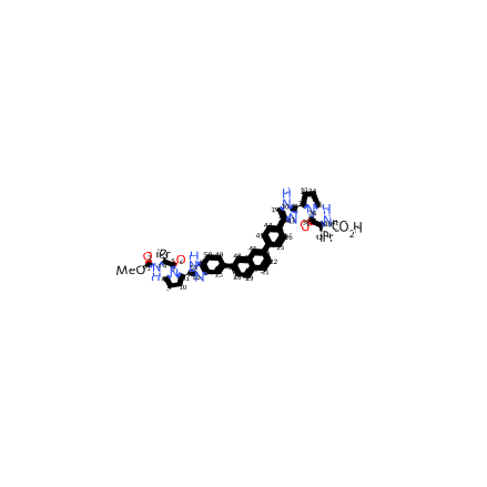 COC(=O)N[C@H](C(=O)N1CCC[C@H]1c1nc2cc(-c3ccc4ccc(-c5ccc(-c6c[nH]c([C@@H]7CCCN7C(=O)[C@@H](NC(=O)O)C(C)C)n6)cc5)cc4c3)ccc2[nH]1)C(C)C